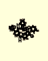 COc1ccc(C)cc1N1Cc2nc(Nc3cc(N[C@H](CO)c4ccccc4)c(-c4nnco4)cn3)ccc2C1=O